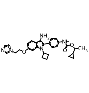 CC(OC(=O)Nc1ccc(-c2c(N)c3ccc(OCCn4cncn4)cc3n2C2CCC2)cc1)C1CC1